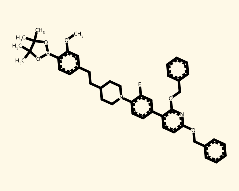 COc1cc(CCC2CCN(c3ccc(-c4ccc(OCc5ccccc5)nc4OCc4ccccc4)cc3F)CC2)ccc1B1OC(C)(C)C(C)(C)O1